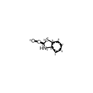 O=C=C1Nc2ccccc2S1